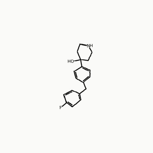 OC1(c2ccc(Cc3ccc(F)cc3)cc2)CCNCC1